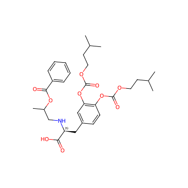 CC(C)CCOC(=O)Oc1ccc(C[C@H](NCC(C)OC(=O)c2ccccc2)C(=O)O)cc1OC(=O)OCCC(C)C